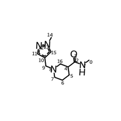 CNC(=O)C1CCCN(Cc2cnn(C)c2)C1